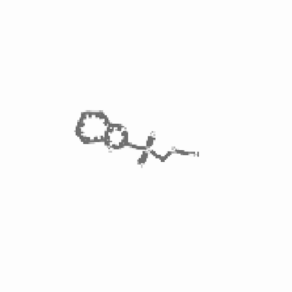 N#CSCS(=O)(=O)c1nc2ccccc2s1